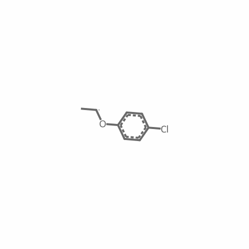 C[CH]Oc1ccc(Cl)cc1